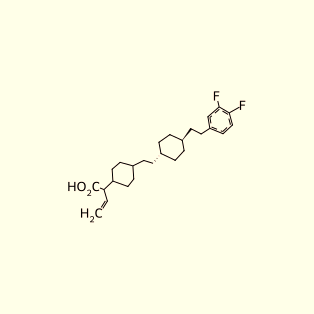 C=CC(C(=O)O)C1CCC(CC[C@H]2CC[C@H](CCc3ccc(F)c(F)c3)CC2)CC1